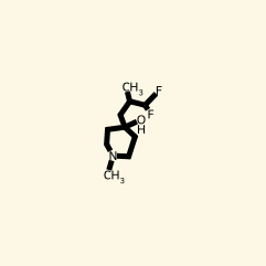 CC(CC1(O)CCN(C)CC1)C(F)F